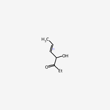 C/C=C/C(O)C(=O)CC